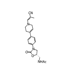 CC(=O)NC[C@H]1CN(c2ccc(C3=CCN(C=C(C)C#N)CC3)cc2)C(=O)O1